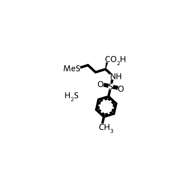 CSCC[C@H](NS(=O)(=O)c1ccc(C)cc1)C(=O)O.S